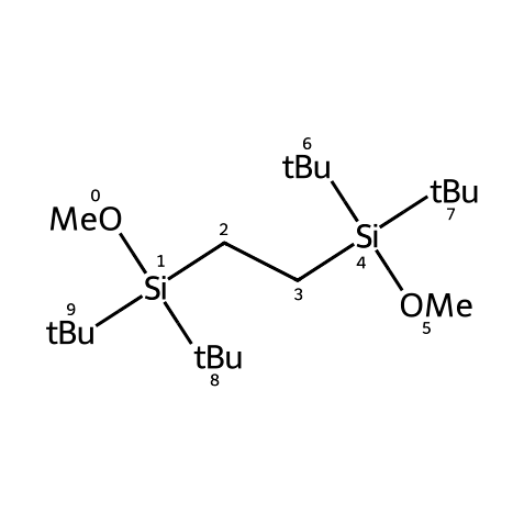 CO[Si](CC[Si](OC)(C(C)(C)C)C(C)(C)C)(C(C)(C)C)C(C)(C)C